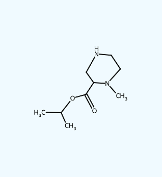 CC(C)OC(=O)C1CNCCN1C